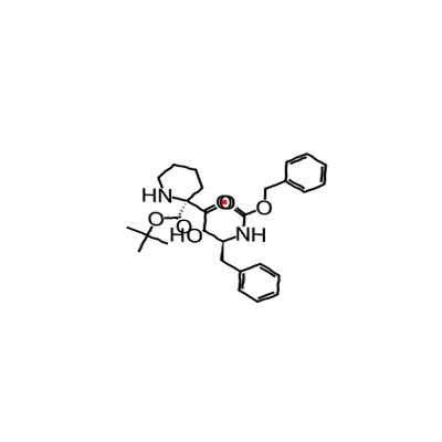 CC(C)(C)OC(=O)[C@@]1(C(=O)C(O)[C@H](Cc2ccccc2)NC(=O)OCc2ccccc2)CCCCN1